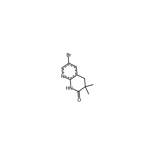 CC1(C)Cc2cc(Br)cnc2NC1=O